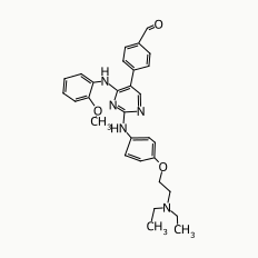 CCN(CC)CCOc1ccc(Nc2ncc(-c3ccc(C=O)cc3)c(Nc3ccccc3OC)n2)cc1